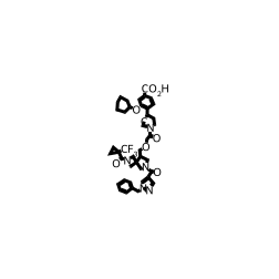 O=C(O)c1ccc(C2CCN(C(=O)COCC3CN(C(=O)c4cnn(Cc5ccccc5)c4)CC34CN(C(=O)C3(C(F)(F)F)CC3)C4)CC2)c(OC2CCCCC2)c1